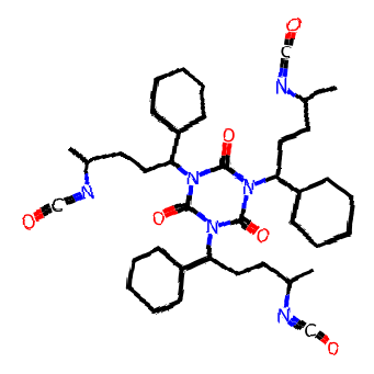 CC(CCC(C1CCCCC1)n1c(=O)n(C(CCC(C)N=C=O)C2CCCCC2)c(=O)n(C(CCC(C)N=C=O)C2CCCCC2)c1=O)N=C=O